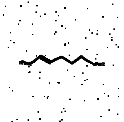 [CH2]CCCCC=CCCCCCCC[CH2]